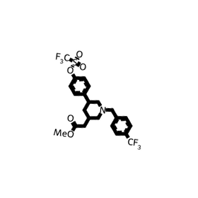 COC(=O)CC1CC(c2ccc(OS(=O)(=O)C(F)(F)F)cc2)CN(Cc2ccc(C(F)(F)F)cc2)C1